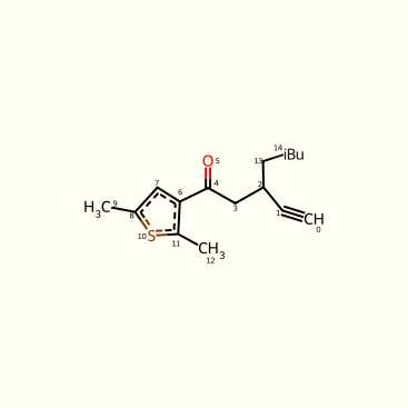 C#CC(CC(=O)c1cc(C)sc1C)CC(C)CC